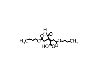 CCCCOC(=O)CC(C(=O)O)=C(CC(=O)OCCCC)C(=O)O